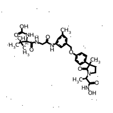 Cc1cc(COc2ccc(C3(C)CCN(C(C)C(=O)NO)C3=O)cc2)cc(NC(=O)CNC(=O)[C@H](NC(=O)O)C(C)(C)C)c1